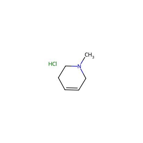 CN1CC=CCC1.Cl